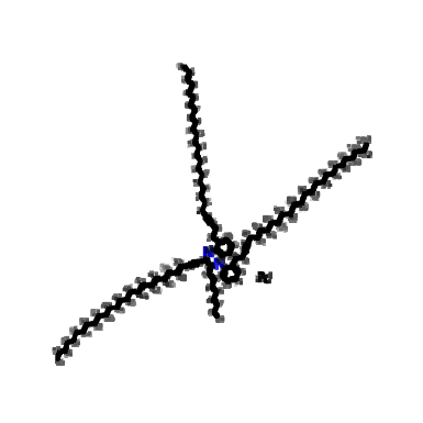 CCCCCCCCCCCCCCCCCCCCCCCC#CCCc1ccccc1N=C(C#CCCCCCCCCCCCCCCCCCCCCCCCC)C(CCCCCCCC)=Nc1ccccc1CCC#CCCCCCCCCCCCCCCCCCCCCCCC.[Pd]